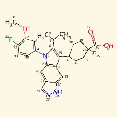 COc1cc(-n2c(C(C)C)c(C3CCC(F)(C(=O)O)CC3)c3cc4[nH]ncc4cc32)ccc1F